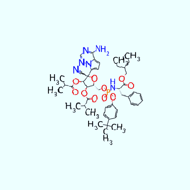 CCC(CC)COC(=O)[C@H](Cc1ccccc1)NP(=O)(OC[C@H]1O[C@@](C#N)(c2ccc3c(N)ncnn23)[C@H](OC(=O)C(C)C)[C@@H]1OC(=O)C(C)C)Oc1ccc(C(C)(C)C)cc1